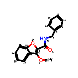 CC(C)Oc1c(C(=O)NCc2ccccc2)oc2ccccc12